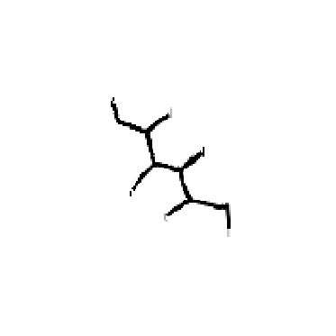 ICC(I)C(I)C(I)C(I)CI